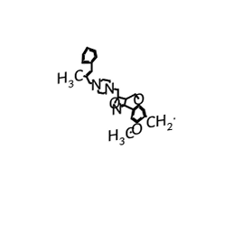 [CH2]c1cc2c(cc1OC)C1=NOC(CN3CCN(CC(C)=Cc4ccccc4)CC3)C1CO2